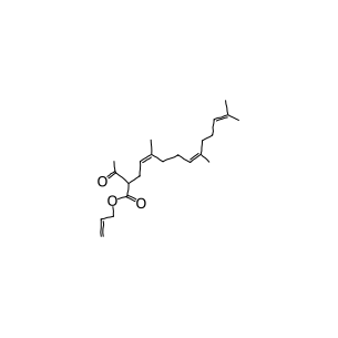 C=CCOC(=O)C(CC=C(C)CCC=C(C)CCC=C(C)C)C(C)=O